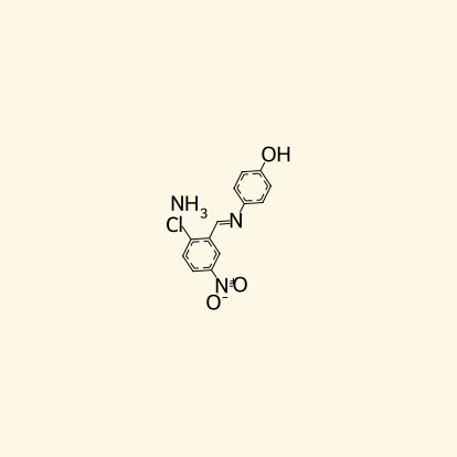 N.O=[N+]([O-])c1ccc(Cl)c(/C=N/c2ccc(O)cc2)c1